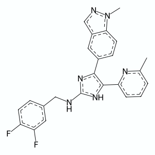 Cc1cccc(-c2[nH]c(NCc3ccc(F)c(F)c3)nc2-c2ccc3c(cnn3C)c2)n1